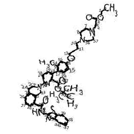 CCOC(=O)CN1CCN(CCCOc2ccc(-c3ccc(N4CCc5cccc(C(=O)Nc6nc7ccccc7s6)c5C4)nc3C(=O)OC(C)(C)C)c(C)c2)CC1